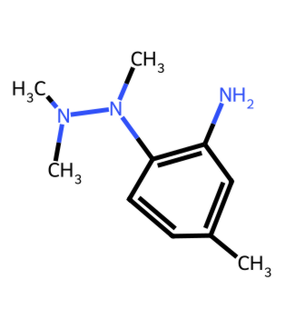 Cc1ccc(N(C)N(C)C)c(N)c1